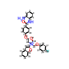 Nc1ccccc1NC(=O)c1ccc(OCC[N+](C=O)(COc2ccc(F)cc2)c2cc3ccccc3o2)cc1